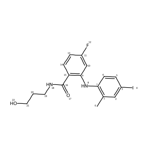 Cc1cc(I)ccc1Nc1cc(F)ccc1C(=O)NCCCO